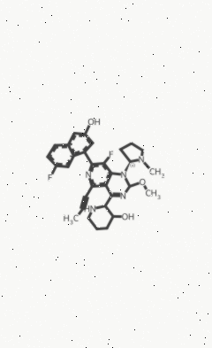 CC#Cc1nc(-c2cc(O)cc3ccc(F)cc23)c(F)c2c1C(C1NCCCC1O)=NC(OC)N2[C@H]1CCCN1C